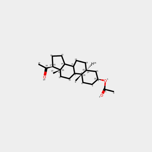 CC(=O)O[C@H]1CC[C@]2(C)C3CC[C@@]4(C)C(CC[C@@H]4C(C)=O)C3CC[C@H]2C1